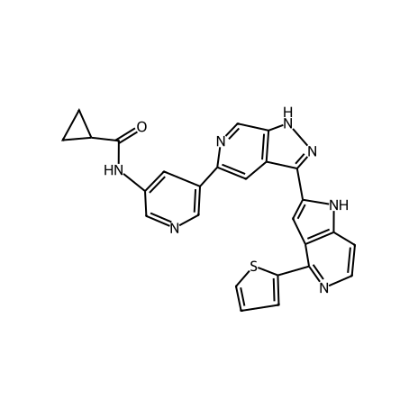 O=C(Nc1cncc(-c2cc3c(-c4cc5c(-c6cccs6)nccc5[nH]4)n[nH]c3cn2)c1)C1CC1